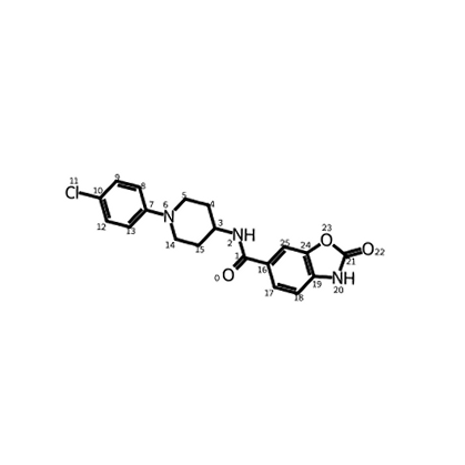 O=C(NC1CCN(c2ccc(Cl)cc2)CC1)c1ccc2[nH]c(=O)oc2c1